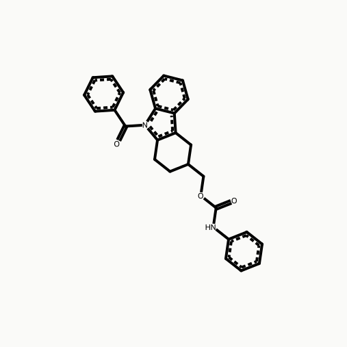 O=C(Nc1ccccc1)OCC1CCc2c(c3ccccc3n2C(=O)c2ccccc2)C1